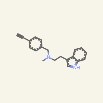 C#Cc1ccc(CN(C)CCc2c[nH]c3ccccc23)cc1